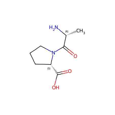 C[C@@H](N)C(=O)N1CCC[C@H]1C(=O)O